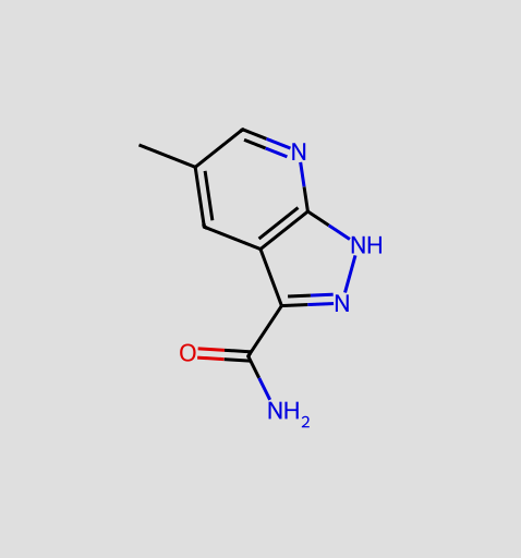 Cc1cnc2[nH]nc(C(N)=O)c2c1